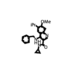 COc1cc2ncc(C(=O)NC3CC3)c(NCc3ccccc3)c2cc1C(C)C